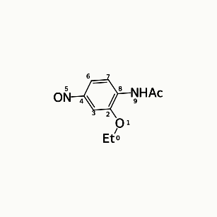 CCOc1cc(N=O)ccc1NC(C)=O